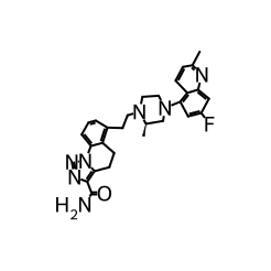 Cc1ccc2c(N3CCN(CCc4cccc5c4CCc4c(C(N)=O)nnn4-5)[C@H](C)C3)cc(F)cc2n1